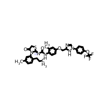 CCCc1ccc(C)cc1N1C(=O)CS/C1=N\C(=O)Nc1ccc(OCC2N=CN(c3ccc(OC(F)(F)F)cc3)N2)cc1C